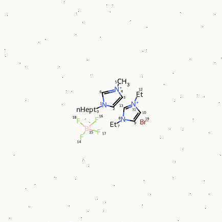 CCCCCCCn1cc[n+](C)c1.CCn1cc[n+](CC)c1.F[B-](F)(F)F.[Br-]